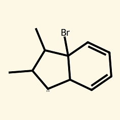 CC1[C]C2C=CC=CC2(Br)C1C